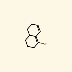 BrC1=C2C=CCCC2CCC1